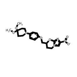 COC1(OC)CCN(c2ccc(OCC3CCn4cc([N+](=O)[O-])nc4O3)cc2)CC1